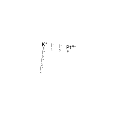 [I-].[I-].[I-].[I-].[I-].[K+].[Pt+4]